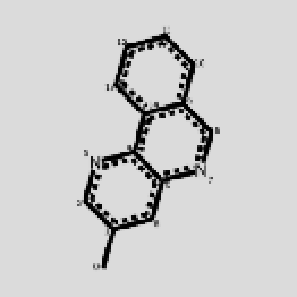 Cc1cnc2c(c1)ncc1ccccc12